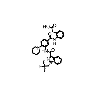 O=C(O)Cc1ccccc1NC(=O)c1ccc(N2CCCCC2)c(NC(=O)c2nn(CC(F)(F)F)c3ccccc23)c1